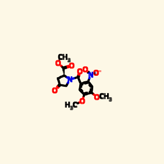 COC(=O)[C@@H]1CC(=O)CN1C(=O)c1cc(OC)c(OC)cc1[N+](=O)[O-]